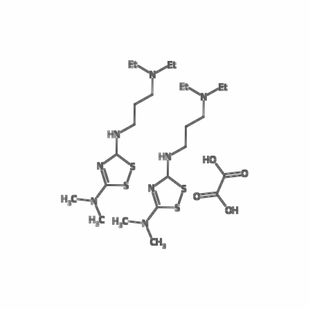 CCN(CC)CCCNC1N=C(N(C)C)SS1.CCN(CC)CCCNC1N=C(N(C)C)SS1.O=C(O)C(=O)O